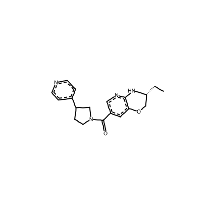 CC[C@@H]1COc2cc(C(=O)N3CCC(c4ccncc4)C3)cnc2N1